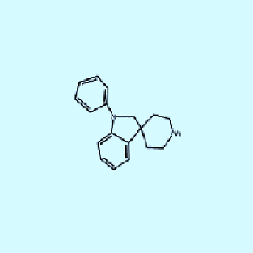 c1ccc(N2CC3(CCNCC3)c3ccccc32)cc1